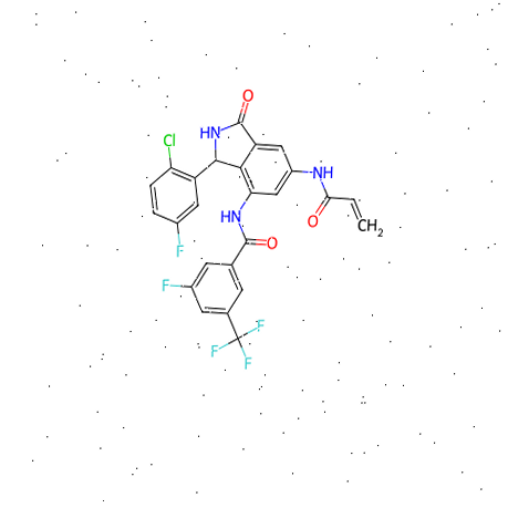 C=CC(=O)Nc1cc(NC(=O)c2cc(F)cc(C(F)(F)F)c2)c2c(c1)C(=O)NC2c1cc(F)ccc1Cl